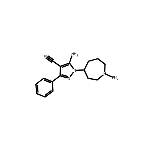 N#Cc1c(-c2ccccc2)nn(C2CCCN(P)CC2)c1N